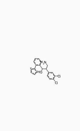 NCC(c1ccc(Cl)c(Cl)c1)C(O)c1ccccc1-c1cccs1